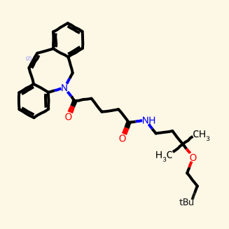 CC(C)(C)CCOC(C)(C)CCNC(=O)CCCC(=O)N1Cc2ccccc2/C=C\c2ccccc21